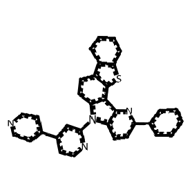 c1ccc(-c2ccc3c(n2)c2c4sc5ccccc5c4ccc2n3-c2cc(-c3ccncc3)ccn2)cc1